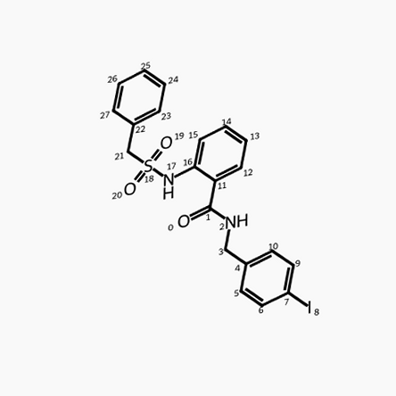 O=C(NCc1ccc(I)cc1)c1ccccc1NS(=O)(=O)Cc1ccccc1